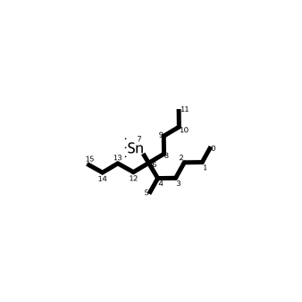 CCCCC(C)[C]([Sn])(CCCC)CCCC